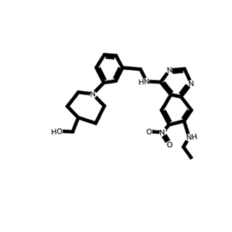 CCNc1cc2ncnc(NCc3cccc(N4CCC(CO)CC4)c3)c2cc1[N+](=O)[O-]